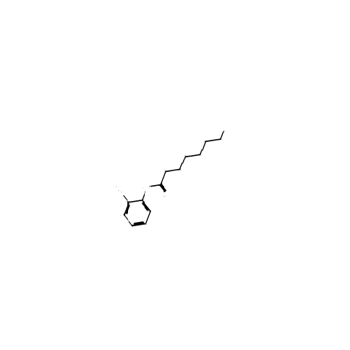 O=C(O)CCCCCCC(=O)Oc1ccccc1[N+](=O)[O-]